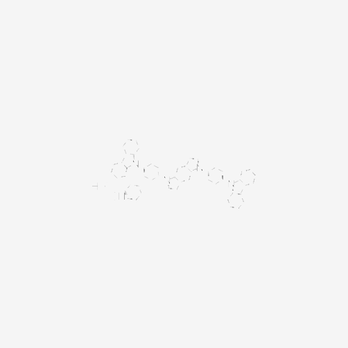 CC1(C)c2ccccc2-c2c1ccc1c3ccccc3n(-c3ccc(-n4ccc5cc6c(ccn6-c6ccc(-n7c8ccccc8c8ccccc87)cc6)cc54)cc3)c21